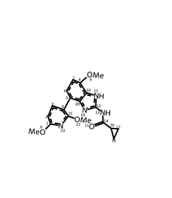 COc1ccc(-c2ccc(OC)c3[nH]c(NC(=O)C4CC4)nc23)c(OC)n1